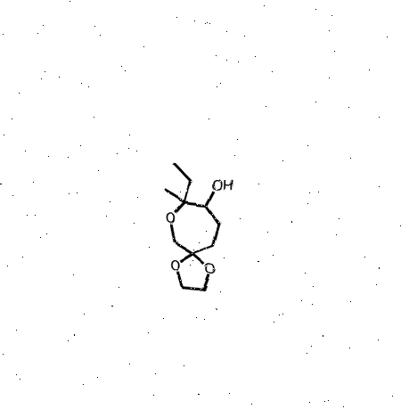 CCC1(C)OCC2(CCC1O)OCCO2